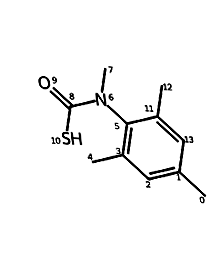 Cc1cc(C)c(N(C)C(=O)S)c(C)c1